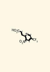 O=C(O)/C=C/c1ncc(C(F)(F)F)cc1[N+](=O)[O-]